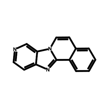 c1ccc2c(c1)ccn1c3cnccc3nc21